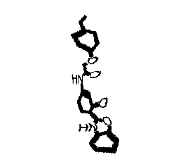 CCc1ccc(OCC(=O)NC2=CC(=O)/C(=C3/Nc4ccccc4O3)C=C2)cc1